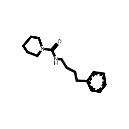 O=C(NCCCCc1ccccc1)N1CCCCC1